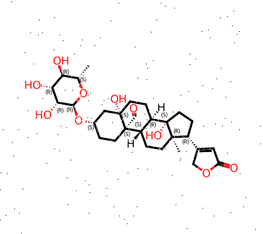 C[C@@H]1O[C@@H](O[C@H]2CC[C@]3(C=O)[C@H]4CC[C@]5(C)[C@@H](C6=CC(=O)OC6)CC[C@]5(O)[C@@H]4CC[C@]3(O)C2)[C@H](O)[C@H](O)[C@H]1O